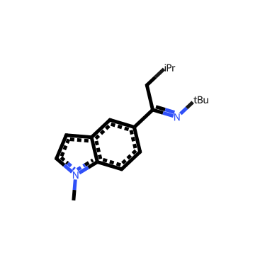 CC(C)C/C(=N\C(C)(C)C)c1ccc2c(ccn2C)c1